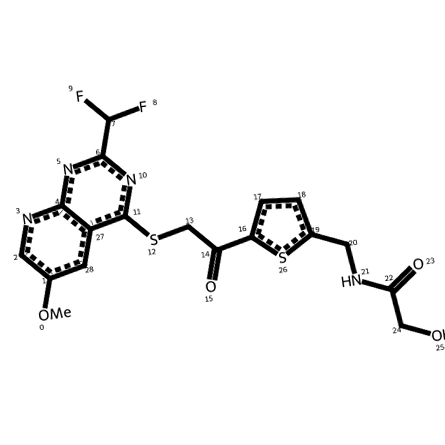 COc1cnc2nc(C(F)F)nc(SCC(=O)c3ccc(CNC(=O)CO)s3)c2c1